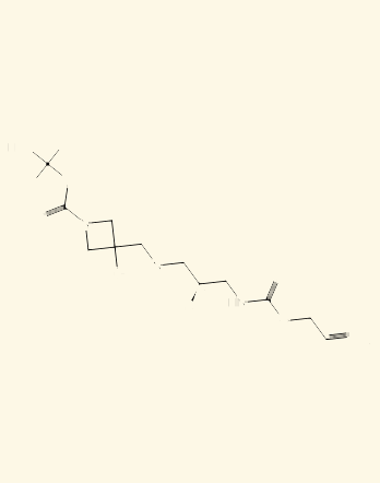 C=CCOC(=O)NC[C@@H](O)CNCC1(O)CN(C(=O)OC(C)(C)C)C1